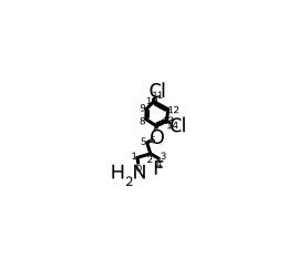 NCC(CF)COc1ccc(Cl)cc1Cl